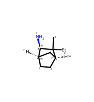 CCC1(C)[C@H]2CC[C@H](C2)[C@H]1N